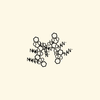 [N-]=[N+]=NC1C[C@@H](N=[N+]=[N-])[C@H]2OC3(CCCCC3)OC2[C@@H]1O[C@H]1OC2COC3(CCCCC3)O[C@H]2[C@H](OCOC2[C@@H]3OC4(CCCCC4)OCC3O[C@H](O[C@@H]3C(N=[N+]=[N-])C[C@@H](N=[N+]=[N-])C4OC5(CCCCC5)O[C@H]43)[C@H]2N=[N+]=[N-])C1N=[N+]=[N-]